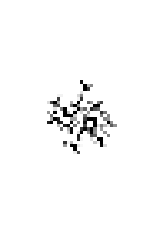 CC(=O)OCC1O[C@@H](O[C@@H]2C(COC(C)=O)O[C@@H](OC(C)=O)[C@@H](OC(C)=O)[C@H]2OC(C)=O)[C@@H](OC(C)=O)[C@@H](OC(C)=O)[C@@H]1OC(C)=O